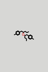 CCCC(Cc1ccc(C)cc1)OC(CCC)Cc1ccc(C)cc1